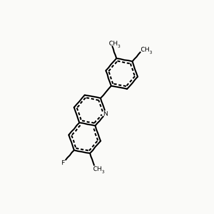 Cc1ccc(-c2ccc3cc(F)c(C)cc3n2)cc1C